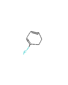 FC1=CC=CCC1